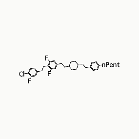 CCCCCc1ccc(CC[C@H]2CC[C@H](CCc3cc(F)c(CCc4ccc(Cl)c(F)c4)c(F)c3)CC2)cc1